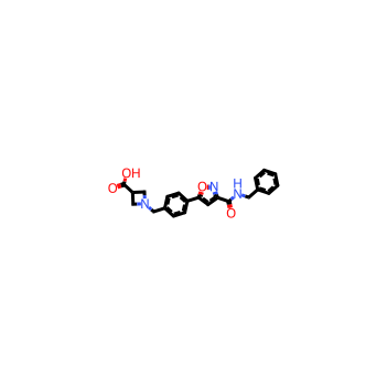 O=C(NCc1ccccc1)c1cc(-c2ccc(CN3CC(C(=O)O)C3)cc2)on1